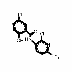 O=C(Nc1ccc(C(F)(F)F)nc1Cl)c1cc(Cl)ccc1O